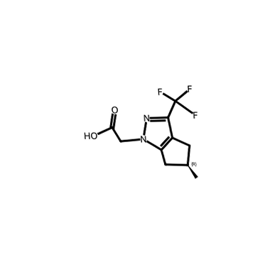 C[C@@H]1Cc2c(C(F)(F)F)nn(CC(=O)O)c2C1